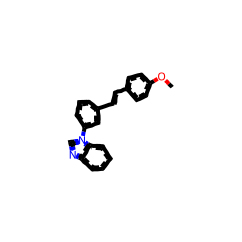 COc1ccc(/C=C/c2cccc(-n3cnc4ccccc43)c2)cc1